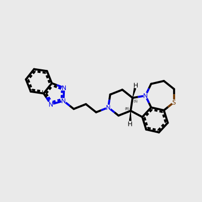 c1cc2c3c(c1)[C@@H]1CN(CCCn4nc5ccccc5n4)CC[C@@H]1N3CCCS2